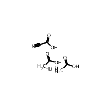 CC(=O)O.CC(=O)O.N#CC(=O)O.[LiH].[LiH]